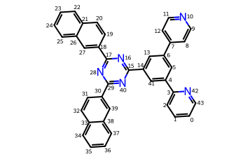 c1ccc(-c2cc(-c3ccncc3)cc(-c3nc(-c4ccc5ccccc5c4)nc(-c4ccc5ccccc5c4)n3)c2)nc1